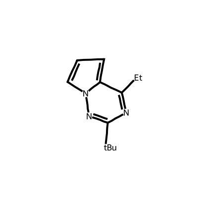 CCc1nc(C(C)(C)C)nn2cccc12